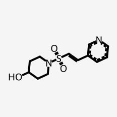 O=S(=O)(C=Cc1cccnc1)N1CCC(O)CC1